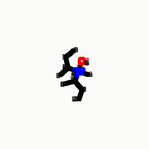 CCC(C)[N+](C)([O-])C(C)CC